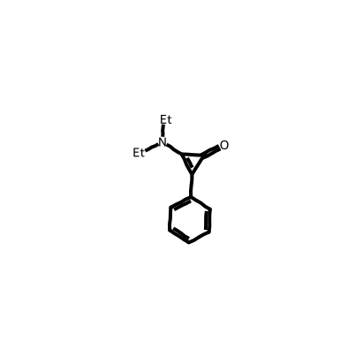 CCN(CC)c1c(-c2ccccc2)c1=O